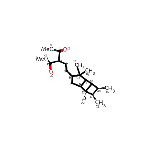 COC(=O)C(CCC1CC2C(C3[C@H]2[C@H](C)[C@@H]3C)C1(C)C)C(=O)OC